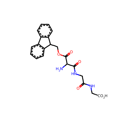 NC(C(=O)NCC(=O)NCC(=O)O)C(=O)OCC1c2ccccc2-c2ccccc21